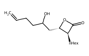 C=CCCC(O)C[C@@H]1OC(=O)[C@H]1CCCCCC